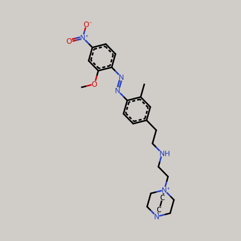 COc1cc([N+](=O)[O-])ccc1N=Nc1ccc(CCNCC[N+]23CCN(CC2)CC3)cc1C